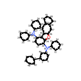 c1ccc(-c2cccc(N(c3ccccc3)c3ccc(N(c4ccccc4)c4ccccc4)c4c3oc3cc5ccccc5cc34)c2)cc1